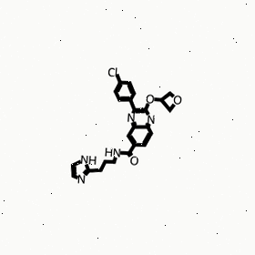 O=C(NCCCc1ncc[nH]1)c1ccc2nc(OC3COC3)c(-c3ccc(Cl)cc3)nc2c1